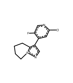 Fc1cnc(Cl)cc1-c1cnn2c1CCCC2